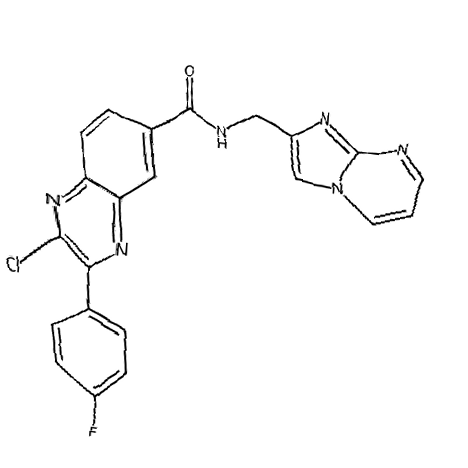 O=C(NCc1cn2cccnc2n1)c1ccc2nc(Cl)c(-c3ccc(F)cc3)nc2c1